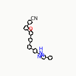 N#Cc1ccc(-c2cccc3c2oc2ccc(-c4ccc(-c5cccc(-c6ccc(C7N=C8C=CC(c9ccccc9)=CN8N7)cc6)c5)cc4)cc23)cc1